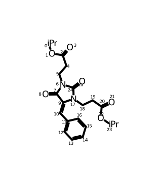 CC(C)OC(=O)CCN1C(=O)C(=Cc2ccccc2)N(CCC(=O)OC(C)C)C1=O